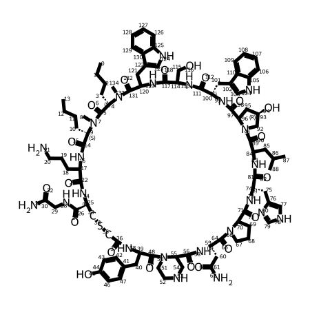 CCCC[C@H]1C(=O)N(C)[C@@H](CCCC)C(=O)NC(CCCN)C(=O)N[C@H](C(=O)NCC(N)=O)CSCC(=O)NC(Cc2ccc(O)cc2)C(=O)N2CCNCC2C(=O)N[C@@H](CC(N)=O)C(=O)N2CCCC2C(=O)N[C@@H](Cc2c[nH]cn2)C(=O)NC(CC(C)C)C(=O)N2C[C@H](O)CC2C(=O)N[C@@H](Cc2c[nH]c3ccccc23)C(=O)NC(CO)C(=O)NC(Cc2c[nH]c3ccccc23)C(=O)N1C